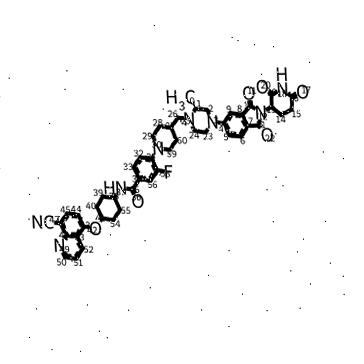 C[C@@H]1CN(c2ccc3c(c2)C(=O)N(C2CCC(=O)NC2=O)C3=O)CCN1CC1CCN(c2ccc(C(=O)NC3CCC(Oc4ccc(C#N)c5ncccc45)CC3)cc2F)CC1